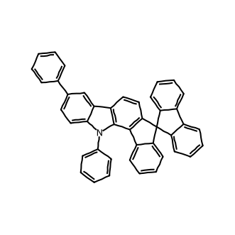 c1ccc(-c2ccc3c(c2)c2ccc4c(c2n3-c2ccccc2)-c2ccccc2C42c3ccccc3-c3ccccc32)cc1